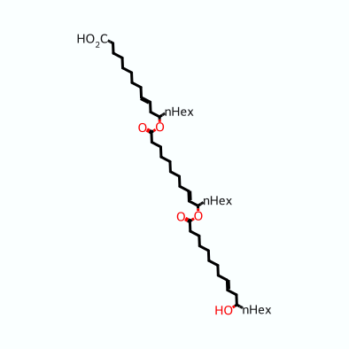 CCCCCCC(O)CC=CCCCCCCCC(=O)OC(C=CCCCCCCCC(=O)OC(CC=CCCCCCCCC(=O)O)CCCCCC)CCCCCC